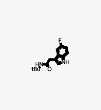 CC(C)(C)NC(=O)Cc1c[nH]c2ccc(F)cc12